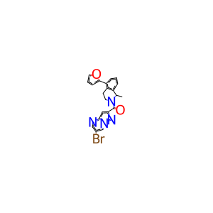 CC1c2cccc(-c3ccco3)c2CCN1C(=O)c1cc2ncc(Br)cn2n1